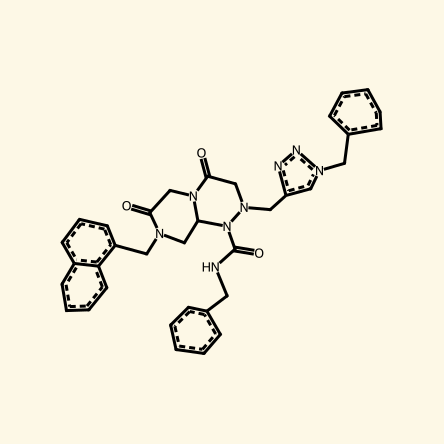 O=C1CN2C(=O)CN(Cc3cn(Cc4ccccc4)nn3)N(C(=O)NCc3ccccc3)C2CN1Cc1cccc2ccccc12